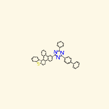 c1ccc(-c2ccc(-c3nc(-c4ccccc4)nc(-c4ccc5c(c4)c4ccccc4c4c5ccc5sc6ccccc6c54)n3)cc2)cc1